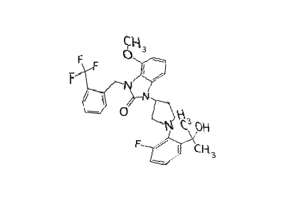 COc1cccc2c1n(Cc1ccccc1C(F)(F)F)c(=O)n2C1CCN(c2c(F)cccc2C(C)(C)O)C1